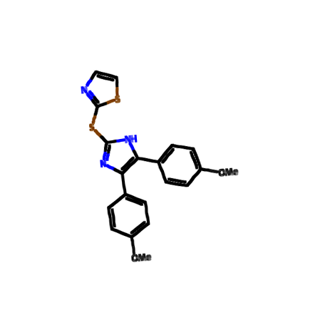 COc1ccc(-c2nc(Sc3nccs3)[nH]c2-c2ccc(OC)cc2)cc1